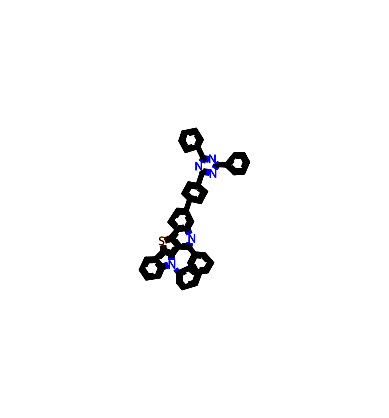 c1ccc(-c2nc(-c3ccccc3)nc(-c3ccc(-c4ccc5c(c4)nc(-c4ccccc4)c4c5sc5c6ccccc6n(-c6ccccc6)c54)cc3)n2)cc1